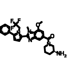 COc1cc(C(=O)N2CCC[C@@H](N)C2)cc2nc(-c3ccc(-c4ccccc4)n3CC(F)(F)F)n(C)c12